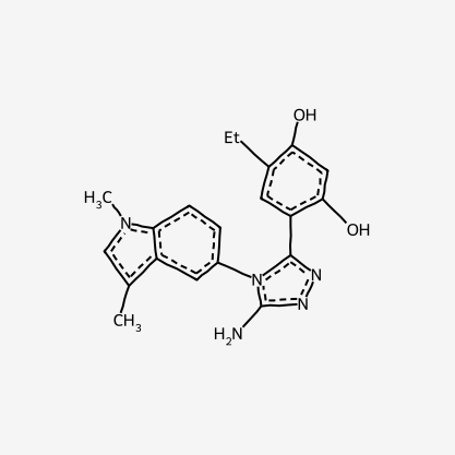 CCc1cc(-c2nnc(N)n2-c2ccc3c(c2)c(C)cn3C)c(O)cc1O